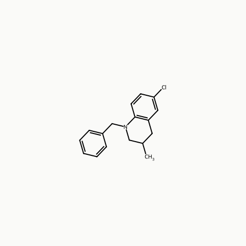 CC1Cc2cc(Cl)ccc2N(Cc2ccccc2)C1